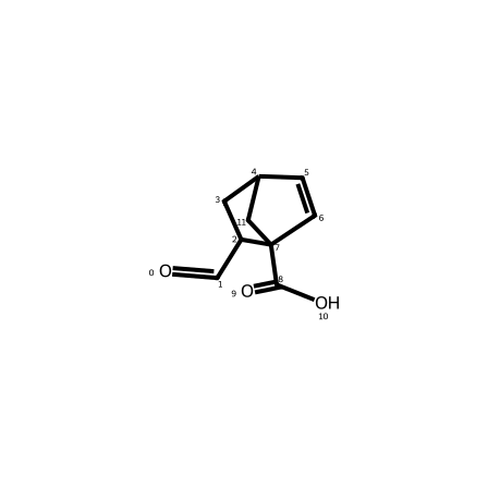 O=CC1[CH]C2C=CC1(C(=O)O)C2